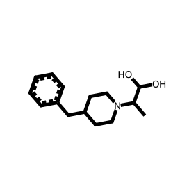 CC(C(O)O)N1CCC(Cc2ccccc2)CC1